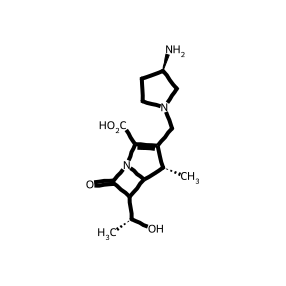 C[C@@H](O)C1C(=O)N2C(C(=O)O)=C(CN3CC[C@@H](N)C3)[C@H](C)C12